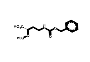 CCCCO[C@@H](CCNC(=O)OCc1ccccc1)C(=O)O